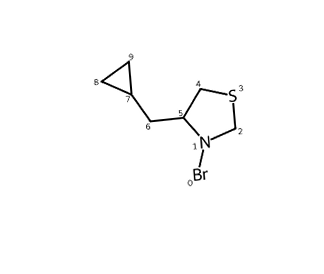 BrN1CSCC1CC1CC1